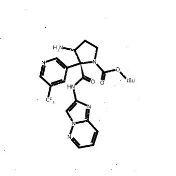 CC(C)(C)OC(=O)N1CCC(N)[C@@]1(C(=O)Nc1cn2ncccc2n1)c1cncc(C(F)(F)F)c1